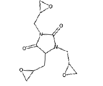 O=C1C(CC2CO2)N(CC2CO2)C(=O)N1CC1CO1